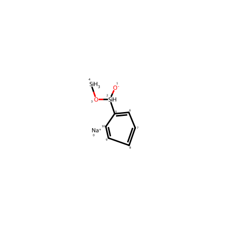 [Na+].[O-][SiH](O[SiH3])c1ccccc1